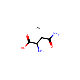 NC(=O)CC(N)C(=O)O.[Zn]